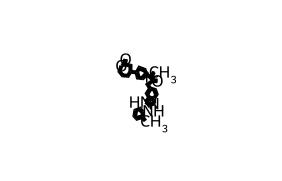 Cc1ccccc1Nc1nc2ccc(CC(=O)N(C)c3ccc(C4CCCOC(=O)C4)cc3)cc2[nH]1